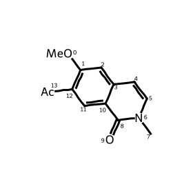 COc1cc2ccn(C)c(=O)c2cc1C(C)=O